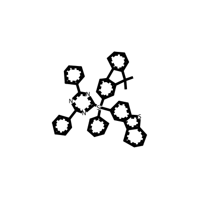 CC1(C)c2ccccc2-c2ccc([Si](c3ccccc3)(c3ccc4sc5ccccc5c4c3)c3nc(-c4ccccc4)nc(-c4ccccc4)n3)cc21